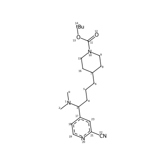 CN(C)C(CCCC1CCN(C(=O)OC(C)(C)C)CC1)c1ccnc(C#N)c1